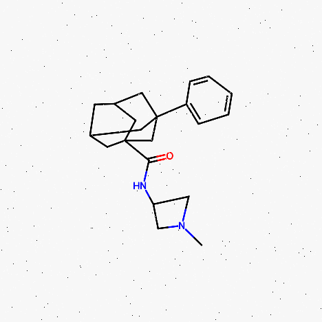 CN1CC(NC(=O)C23CC4CC(C2)CC(c2ccccc2)(C4)C3)C1